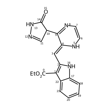 CCOC(=O)c1c(C=C2NC=CN=C2C2C=NNC2=O)[nH]c2ccccc12